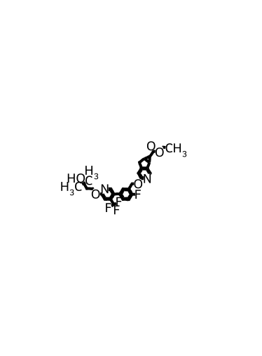 CCOC(=O)C1C2Cc3cc(OCc4cc(-c5cnc(OCCC(C)(C)O)cc5C(F)(F)F)ccc4F)ncc3C21